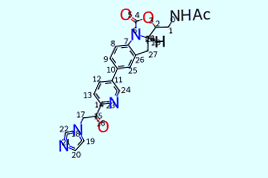 CC(=O)NCC1OC(=O)N2c3ccc(-c4ccc(C(=O)Cn5ccnc5)nc4)cc3C[C@@H]12